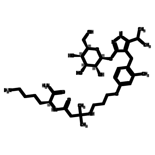 Cc1cc(OCCCNC(C)(C)CC(=O)N[C@@H](CCCCN)C(N)=O)ccc1Cc1c(O[C@@H]2O[C@H](CO)[C@@H](O)[C@H](O)[C@H]2O)n[nH]c1C(C)C